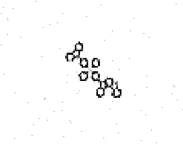 C1=CC(n2c3ccccc3c3ccccc32)CC=C1[Si](c1ccccc1)(c1ccccc1)c1ccc(C2c3ccccc3-c3c2ccc2sc4ccccc4c32)cc1